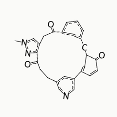 Cn1cc2c(n1)C(=O)CCc1cncc(c1)C1=CC(Cc3cccc(c3)C(=O)C2)C(=O)C=C1